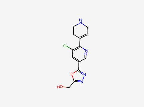 OCc1nnc(-c2cnc(C3=CCNCC3)c(Cl)c2)o1